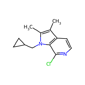 Cc1c(C)n(CC2CC2)c2c(Cl)nccc12